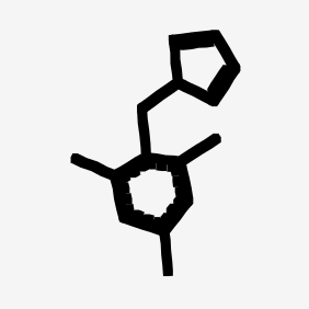 Cc1cc(C)c(C[C]2C=CC=C2)c(C)c1